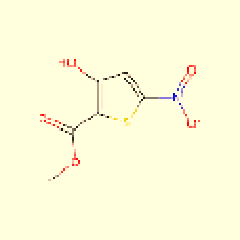 COC(=O)c1sc([N+](=O)[O-])cc1O